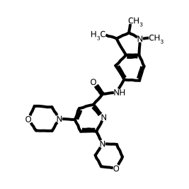 CC1c2cc(NC(=O)c3cc(N4CCOCC4)cc(N4CCOCC4)n3)ccc2N(C)C1C